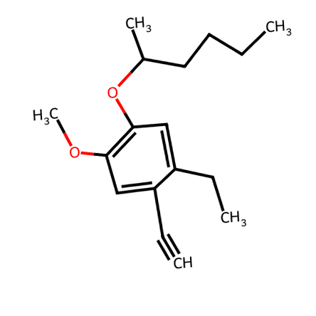 C#Cc1cc(OC)c(OC(C)CCCC)cc1CC